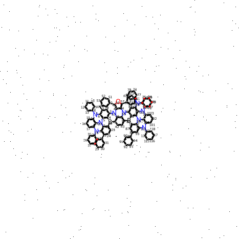 Cc1cc2c3c4c1N(c1ccccc1)c1cccc5c1N4c1c(ccc(-c4ccccc4)c1N5c1ccccc1)B3c1ccc3c4c1N2c1c(-c2ccccc2)oc(-c2ccccc2)c1N4c1cc(N(c2ccccc2)c2ccccc2)c2c4c1B3c1cc(-c3ccccc3)cc3c1N4c1c(cccc1N2c1ccccc1)N3c1ccccc1